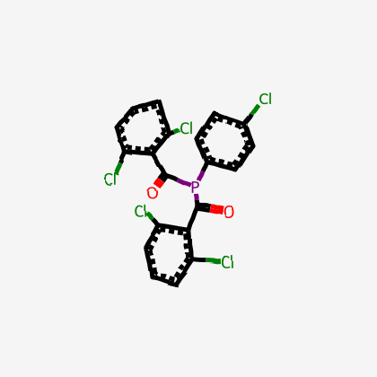 O=C(c1c(Cl)cccc1Cl)P(C(=O)c1c(Cl)cccc1Cl)c1ccc(Cl)cc1